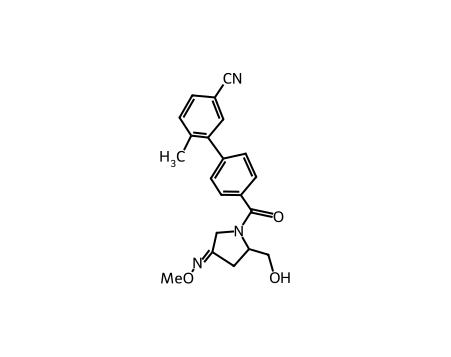 CO/N=C1\CC(CO)N(C(=O)c2ccc(-c3cc(C#N)ccc3C)cc2)C1